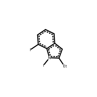 CCc1cc2cccc(I)c2n1I